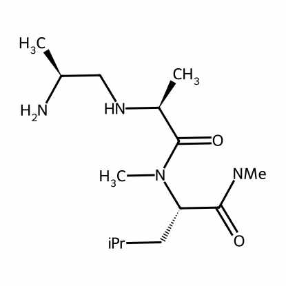 CNC(=O)[C@H](CC(C)C)N(C)C(=O)[C@H](C)NC[C@H](C)N